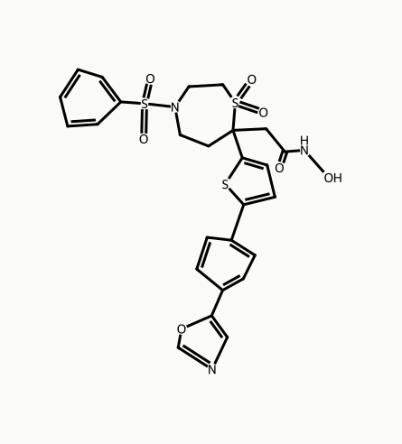 O=C(CC1(c2ccc(-c3ccc(-c4cnco4)cc3)s2)CCN(S(=O)(=O)c2ccccc2)CCS1(=O)=O)NO